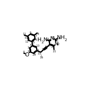 COc1cc(-c2cc(C)cc(C)c2)cc([C@@H](C)C#Cc2c(C)nc(N)nc2N)c1